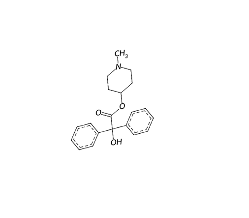 CN1CCC(OC(=O)C(O)(c2ccccc2)c2ccccc2)CC1